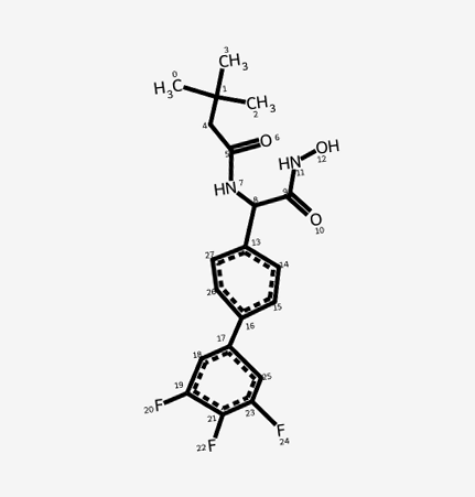 CC(C)(C)CC(=O)NC(C(=O)NO)c1ccc(-c2cc(F)c(F)c(F)c2)cc1